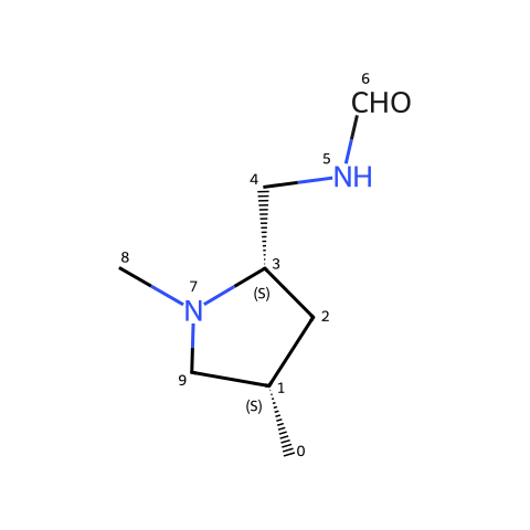 C[C@H]1C[C@@H](CNC=O)N(C)C1